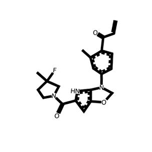 C=CC(=O)c1ccc(N2COc3cc(C(=O)N4CCC(C)(F)C4)[nH]c32)cc1C